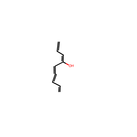 C=CC=C=C/C(O)=C\C=C